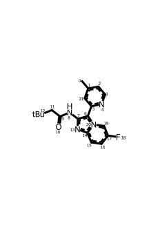 Cc1ccnc(-c2c(NC(=O)CC(C)(C)C)nc3ccc(F)cn23)c1